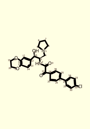 O=C(N[C@H](CN1CCCC1)[C@H](O)c1ccc2c(c1)OCCO2)C(=O)c1ccc(-c2ccc(Cl)cc2)cc1